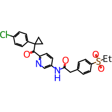 CCS(=O)(=O)c1ccc(CC(=O)Nc2ccc(C(=O)C3(c4ccc(Cl)cc4)CC3)nc2)cc1